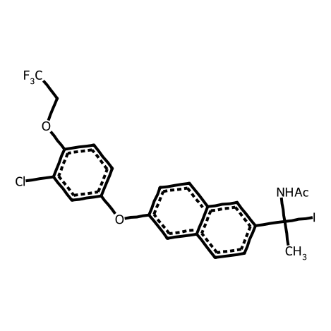 CC(=O)NC(C)(I)c1ccc2cc(Oc3ccc(OCC(F)(F)F)c(Cl)c3)ccc2c1